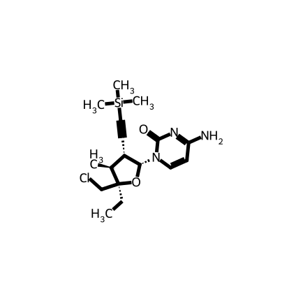 CC[C@@]1(CCl)O[C@@H](n2ccc(N)nc2=O)[C@@H](C#C[Si](C)(C)C)[C@@H]1C